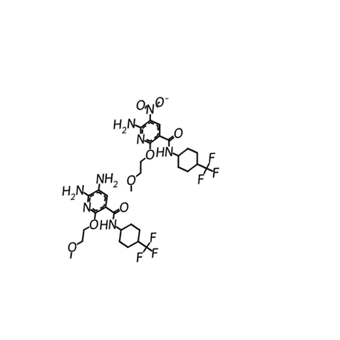 COCCOc1nc(N)c(N)cc1C(=O)NC1CCC(C(F)(F)F)CC1.COCCOc1nc(N)c([N+](=O)[O-])cc1C(=O)NC1CCC(C(F)(F)F)CC1